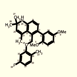 COc1ccc(OC)c(-c2ccc3c(c2COc2cc(F)ccc2C)C(C)=CC(C)(C)N3)c1